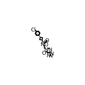 Cn1nnc2ncn(Cc3nn([C@H]4C[C@H](c5ccc(Cl)cc5)C4)c(=O)o3)c(=O)c21